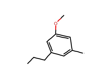 [CH2]c1cc(CCC)cc(OC)c1